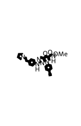 C#Cc1ccc(-n2cc(C(=O)NOC)c(=O)c3cnc(Nc4ccc(CCN5CCCC5)cc4)nc32)cc1